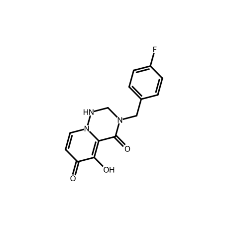 O=C1c2c(O)c(=O)ccn2NCN1Cc1ccc(F)cc1